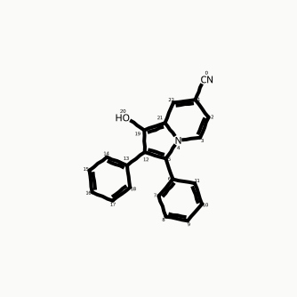 N#Cc1ccn2c(-c3ccccc3)c(-c3ccccc3)c(O)c2c1